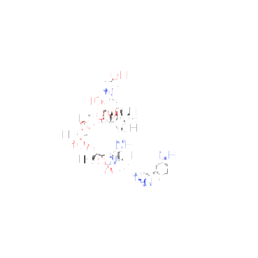 CC[C@H]1OC(O)[C@H](C)C(=O)[C@H](C)[C@@H](O[C@@H]2OC(C)CC(N3CC[C@H](O)C3)C2O)[C@](C)(OC)C[C@@H](C)CN[C@H](C)[C@H]2N(CCCCn3cc(-c4cccc(N)c4)nn3)C(=O)O[C@]12C